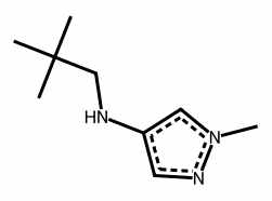 Cn1cc(NCC(C)(C)C)cn1